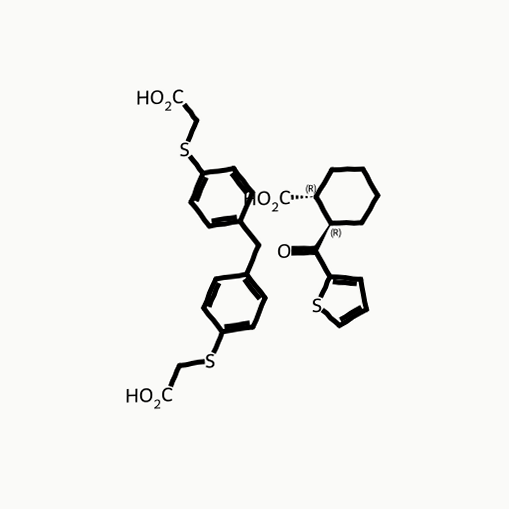 O=C(O)CSc1ccc(Cc2ccc(SCC(=O)O)cc2)cc1.O=C(O)[C@@H]1CCCC[C@H]1C(=O)c1cccs1